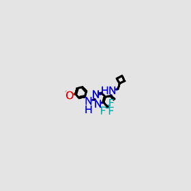 C=C(NCC1CCC1)c1cnc(Nc2cccc(OC)c2)nc1C(F)(F)F